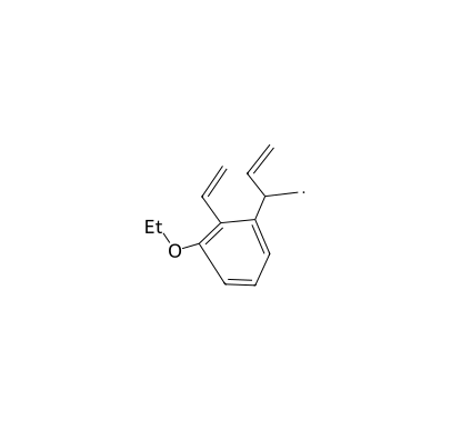 [CH2]C(C=C)c1cccc(OCC)c1C=C